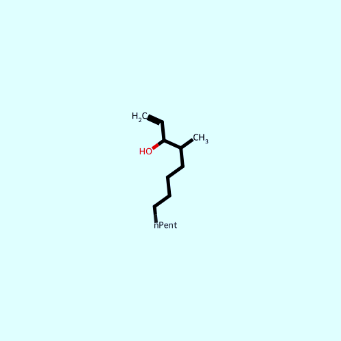 C=CC(O)C(C)CCCCCCCCC